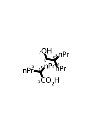 CCCC(CCC)C(=O)O.CCCC(CO)CCC